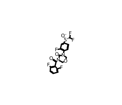 O=C(c1c(F)cccc1F)N1COCN(c2ccc([S+]([O-])C(F)F)cc2F)C1=O